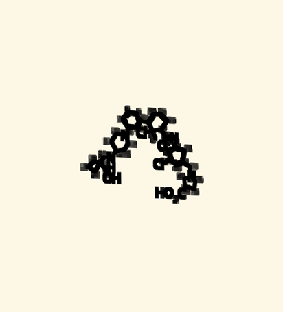 CC1(Cl)C(c2cccc(N3CCC(NCC4(CO)CCC4)CC3)c2)=CC=CC1c1nc2cc(CN3CC[C@@H](C(=O)O)C3)cc(Cl)c2o1